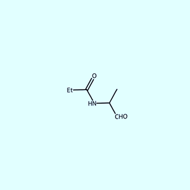 CCC(=O)NC(C)C=O